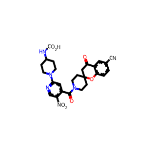 N#Cc1ccc2c(c1)C(=O)CC1(CCN(C(=O)c3cc(N4CCC(NC(=O)O)CC4)ncc3[N+](=O)[O-])CC1)O2